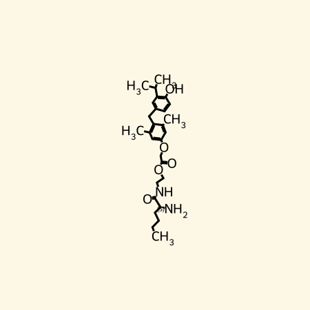 CCCC[C@H](N)C(=O)NCCOC(=O)COc1cc(C)c(Cc2ccc(O)c(C(C)C)c2)c(C)c1